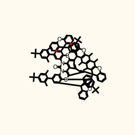 Cc1cc(C(C)(C)C)cc(C)c1-c1cc2c3c(c1)C1(c4ccccc4Oc4ccccc41)c1cc(C(C)(C)C)cc4c1B3c1c3cc5cc6c7c8c5c1N2C(=O)N8c1cc(-c2c(C)cc(C(C)(C)C)cc2C)cc2c1B7c1c(cc(C(C)(C)C)cc1C21c2ccccc2Oc2ccccc21)C61C2=C(Oc5ccccc51)C(C)C1=C(C(C)C5=C(Oc6ccccc6C543)C1C)C2C